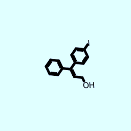 OCC=C(c1ccccc1)c1ccc(I)cc1